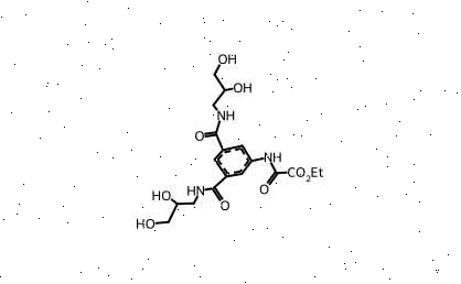 CCOC(=O)C(=O)Nc1cc(C(=O)NCC(O)CO)cc(C(=O)NCC(O)CO)c1